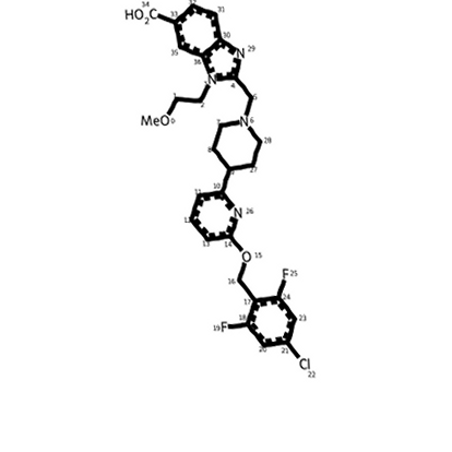 COCCn1c(CN2CCC(c3cccc(OCc4c(F)cc(Cl)cc4F)n3)CC2)nc2ccc(C(=O)O)cc21